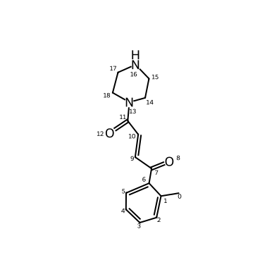 Cc1ccccc1C(=O)C=CC(=O)N1CCNCC1